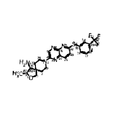 C[C@@H]1OCC2(CCN(c3cnc4nc(Sc5ccnc(C(F)(F)F)c5)ccc4n3)CC2)[C@@H]1N